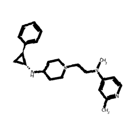 Cc1cc(N(C)CCN2CCC(N[C@@H]3C[C@H]3c3ccccc3)CC2)ccn1